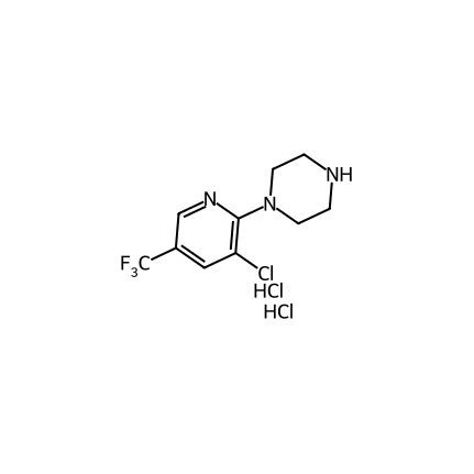 Cl.Cl.FC(F)(F)c1cnc(N2CCNCC2)c(Cl)c1